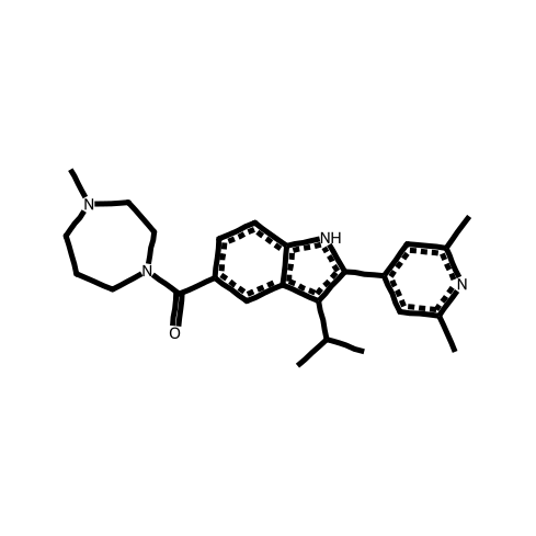 Cc1cc(-c2[nH]c3ccc(C(=O)N4CCCN(C)CC4)cc3c2C(C)C)cc(C)n1